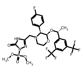 COP(=O)(OC)n1nc(CN2CCO[C@H](O[C@H](C)c3cc(C(F)(F)F)cc(C(F)(F)F)c3)[C@@H]2c2ccc(F)cc2)[nH]c1=O